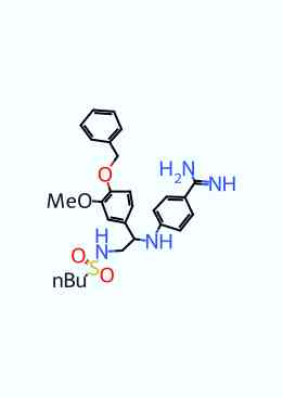 CCCCS(=O)(=O)NCC(Nc1ccc(C(=N)N)cc1)c1ccc(OCc2ccccc2)c(OC)c1